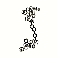 COC(=O)N[C@H](C(=O)N1CCC[C@H]1c1nc(-c2ccc3cc(-c4ccc(-c5cnc([C@@H]6CCCN6C(=O)[C@H](NC(=O)OC6CCOCC6)c6ccccc6)[nH]5)cc4)ccc3c2)c[nH]1)C1CCOCC1